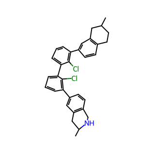 CC1CCc2ccc(-c3cccc(-c4cccc(-c5ccc6c(c5)CC(C)NC6)c4Cl)c3Cl)cc2C1